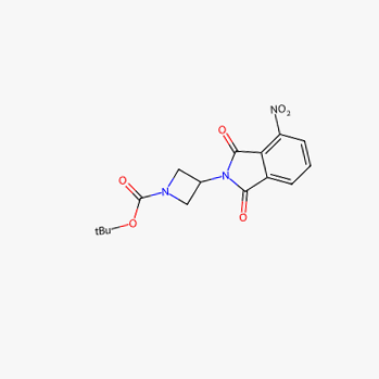 CC(C)(C)OC(=O)N1CC(N2C(=O)c3cccc([N+](=O)[O-])c3C2=O)C1